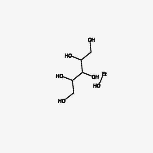 CCO.OCC(O)C(O)C(O)CO